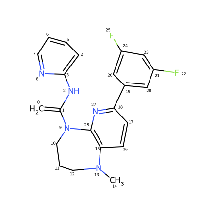 C=C(Nc1ccccn1)N1CCCN(C)c2ccc(-c3cc(F)cc(F)c3)nc21